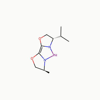 CC(C)[C@H]1COC2=C3OC[C@H](C)N3PN21